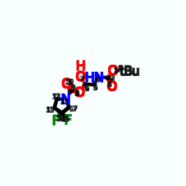 CC(C)(C)OC(=O)NC[C@@H](O)OC(=O)N1CCC(F)(F)C1